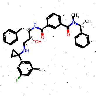 C[C@H](c1ccccc1)N(C)C(=O)c1cccc(C(=O)N[C@@H](Cc2ccccc2)[C@H](O)CNC2(c3cc(F)cc(C(F)(F)F)c3)CC2)c1